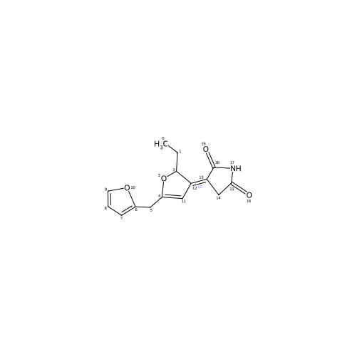 CCC1OC(Cc2ccco2)=C/C1=C1\CC(=O)NC1=O